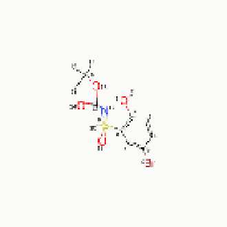 COc1ccc(Br)cc1S(C)(=O)=NC(=O)OC(C)(C)C